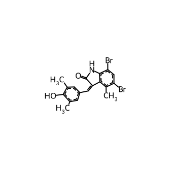 Cc1cc(C=C2C(=O)Nc3c(Br)cc(Br)c(C)c32)cc(C)c1O